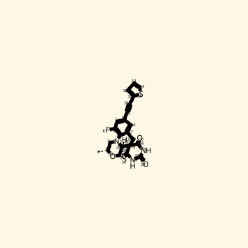 C[C@@H]1CN2c3c(F)cc(C#Cc4cccs4)cc3CC3(C(=O)NC(=O)NC3=O)[C@H]2[C@H](C)O1